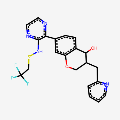 OC1c2ccc(-c3nccnc3NSCC(F)(F)F)cc2OCC1Cc1ccccn1